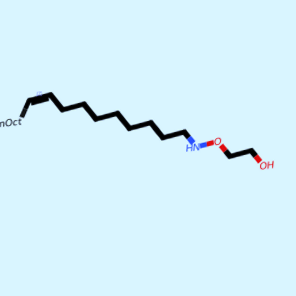 CCCCCCCC/C=C\CCCCCCCCNOCCO